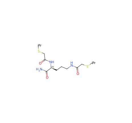 CC(C)SCC(=O)NCCC[C@H](NC(=O)CSC(C)C)C(N)=O